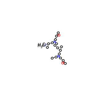 C/C=C\C(=C/C)c1ccc(-c2ccc(N(c3ccc(-c4ccc5c(c4)oc4ccccc45)cc3)c3cccc4c(-c5ccc(-c6cc(-c7ccc(N(c8ccc(-c9ccccc9)cc8)c8ccc(-c9ccc%10c(c9)oc9ccccc9%10)cc8)cc7)ccc6-c6ccccc6)cc5)cccc34)cc2)cc1-c1ccccc1